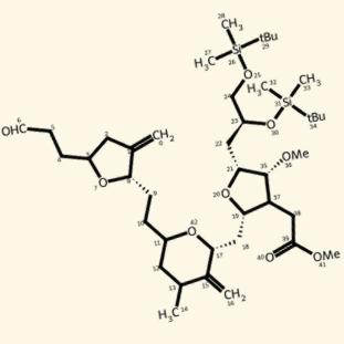 C=C1CC(CCC=O)O[C@H]1CCC1CC(C)C(=C)[C@@H](C[C@@H]2O[C@H](C[C@@H](CO[Si](C)(C)C(C)(C)C)O[Si](C)(C)C(C)(C)C)[C@H](OC)C2CC(=O)OC)O1